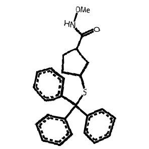 CONC(=O)C1CCC(SC(c2ccccc2)(c2ccccc2)c2ccccc2)C1